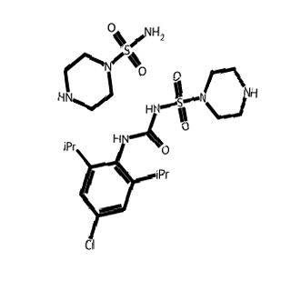 CC(C)c1cc(Cl)cc(C(C)C)c1NC(=O)NS(=O)(=O)N1CCNCC1.NS(=O)(=O)N1CCNCC1